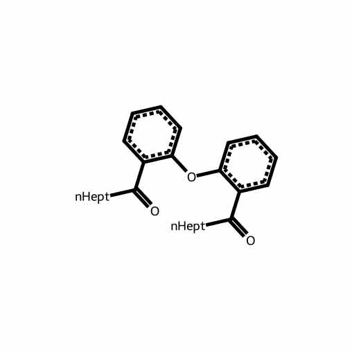 CCCCCCCC(=O)c1ccccc1Oc1ccccc1C(=O)CCCCCCC